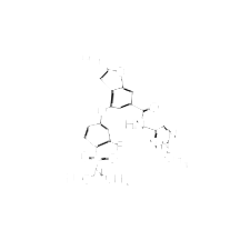 Cc1cc2c(Oc3ccc(S(=O)(=O)N(C)C)c(F)c3)cc(C(=O)Nc3cnn(C)n3)cc2o1